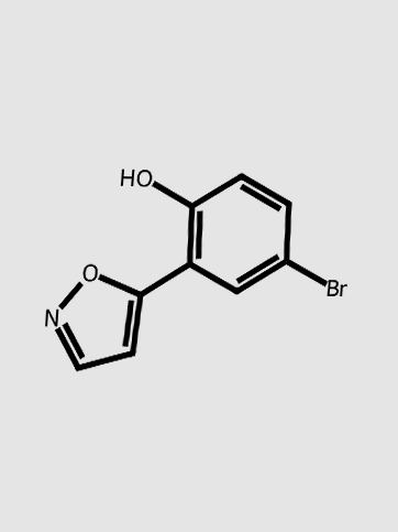 Oc1ccc(Br)cc1-c1ccno1